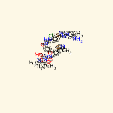 Cc1cc([C@@H](C(=O)N2C[C@H](O)C[C@H]2C(=O)NCc2ccc(-c3scnc3C)cc2OC2CCC(C(=O)N3CC(Nc4cccc(Sc5cnc(N6CCC(C)(CN)CC6)cn5)c4Cl)C3)CC2)C(C)C)on1